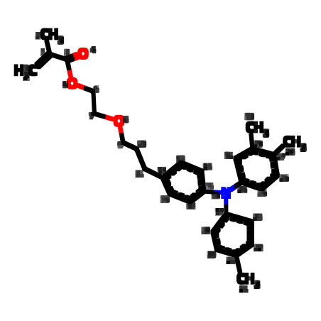 C=C(C)C(=O)OCCOCCCc1ccc(N(c2ccc(C)cc2)c2ccc(C)c(C)c2)cc1